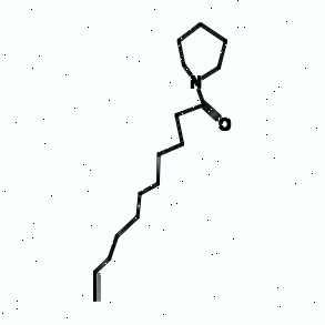 C=CCCCCCCCCC(=O)N1CCCCC1